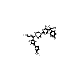 Cc1ccc(-c2c[nH]c(/C(=N\C=N)N3CCN(c4ncc([C@@](C)(O)c5ccc(F)cc5)cn4)CC3)c2)s1